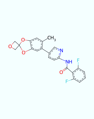 Cc1cc2c(cc1-c1ccc(NC(=O)c3c(F)cccc3F)nc1)OC1(COC1)O2